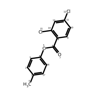 Cc1ccc(OC(=O)c2ccc(Cl)cc2Cl)cc1